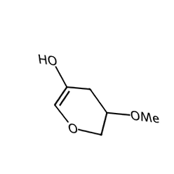 COC1COC=C(O)C1